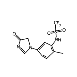 Cc1ccc(N2C=NC(=O)C2)cc1NS(=O)(=O)C(F)(F)F